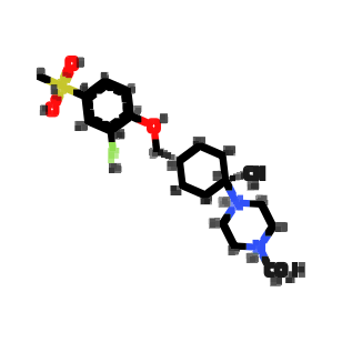 CS(=O)(=O)c1ccc(OC[C@H]2CC[C@](C#N)(N3CCN(C(=O)O)CC3)CC2)c(F)c1